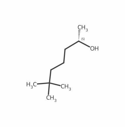 C[C@H](O)CCCC(C)(C)C